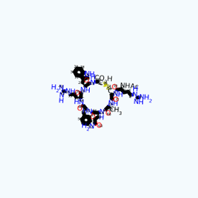 CC(=O)N[C@@H](CCCNC(=N)N)C(=O)N[C@H]1CSSC[C@@H](C(=O)O)NC(=O)[C@H](Cc2c[nH]c3ccccc23)NC(=O)[C@H](CCCNC(=N)N)NC(=O)[C@@H](Cc2ccccc2)NC(=O)[C@H](CCC(N)=O)NC(=O)[C@@H](C)NC1=O